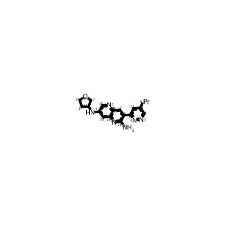 CC(C)c1cnnc(-c2cc3ncc(NC4CCOC4)cc3nc2N)c1